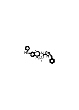 CN1C(=O)[C@@H](NC(=O)c2ncn(Cc3ccccc3)n2)CSc2cc(NC3CCCC3)ncc21